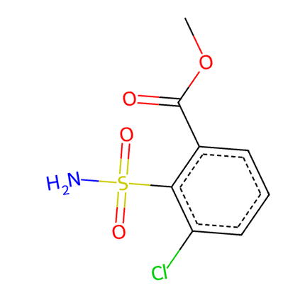 COC(=O)c1cccc(Cl)c1S(N)(=O)=O